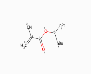 C=C(C#N)C(=O)OC(CCC)CCCC